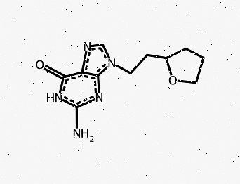 Nc1nc2c(ncn2CCC2CCCO2)c(=O)[nH]1